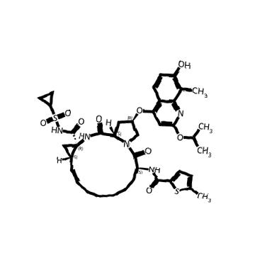 Cc1ccc(C(=O)N[C@H]2CCCCCC=C[C@@H]3C[C@@]3(C(=O)NS(=O)(=O)C3CC3)NC(=O)[C@@H]3C[C@@H](Oc4cc(OC(C)C)nc5c(C)c(O)ccc45)CN3C2=O)s1